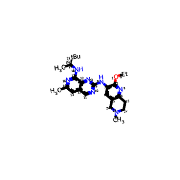 CCOc1nc2c(cc1Nc1ncc3cc(C)nc(N[C@@H](C)C(C)(C)C)c3n1)CN(C)CC2